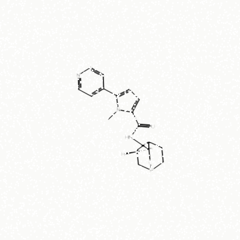 Cn1c(C(=O)N[C@H]2CN3CCC2CC3)ccc1-c1ccncc1